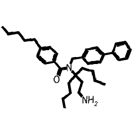 CCCCCc1ccc(C(=O)N(Cc2ccc(-c3ccccc3)cc2)C(CCN)(CCCC)CCCC)cc1